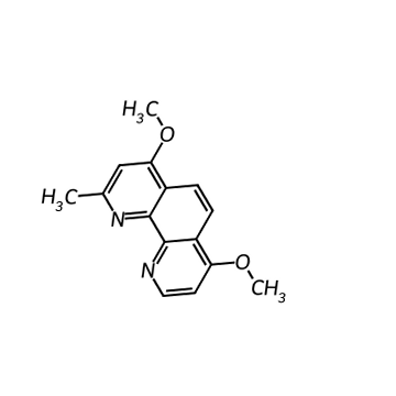 COc1ccnc2c1ccc1c(OC)cc(C)nc12